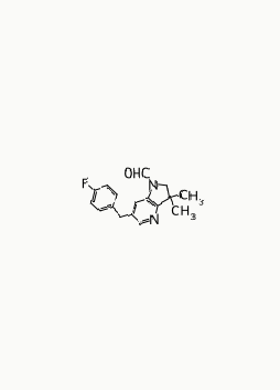 CC1(C)CN(C=O)c2cc(Cc3ccc(F)cc3)cnc21